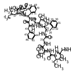 CCC(C)[C@H](NC(=O)CN)C(=O)N[C@@H](CC(C)C)C(=O)NCC(=O)N[C@@H](Cc1ccccc1)C(=O)N[C@H](C(=O)N[C@@H](Cc1ccccc1)C(=O)NC1CC(C)(N[C@@H](CC(C)C)C(=O)O)S(=O)(=O)c2ccccc21)C(C)C